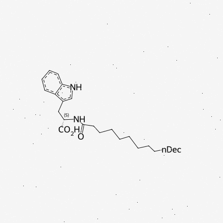 CCCCCCCCCCCCCCCCCCC(=O)N[C@@H](Cc1c[nH]c2ccccc12)C(=O)O